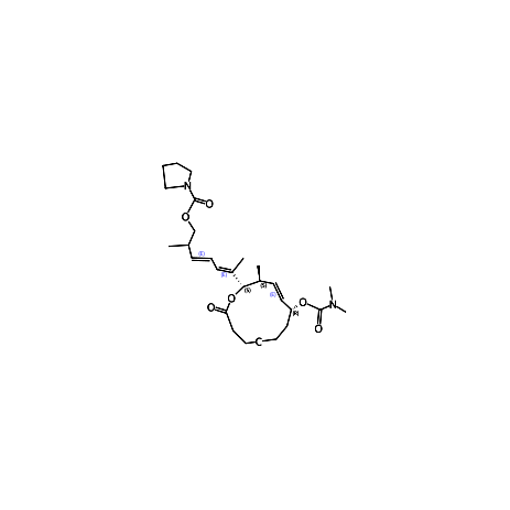 C/C(=C\C=C\C(C)COC(=O)N1CCCC1)[C@H]1OC(=O)CCCCC[C@@H](OC(=O)N(C)C)/C=C/[C@@H]1C